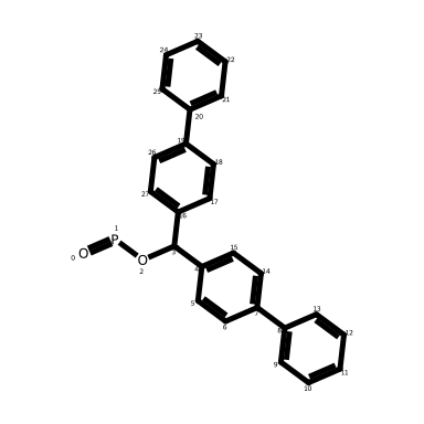 O=PO[C](c1ccc(-c2ccccc2)cc1)c1ccc(-c2ccccc2)cc1